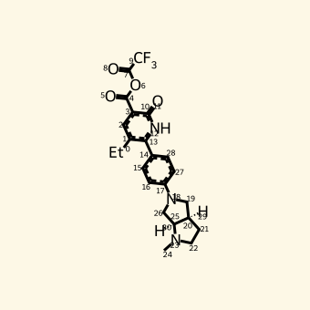 CCc1cc(C(=O)OC(=O)C(F)(F)F)c(=O)[nH]c1-c1ccc(N2C[C@H]3CCN(C)[C@H]3C2)cc1